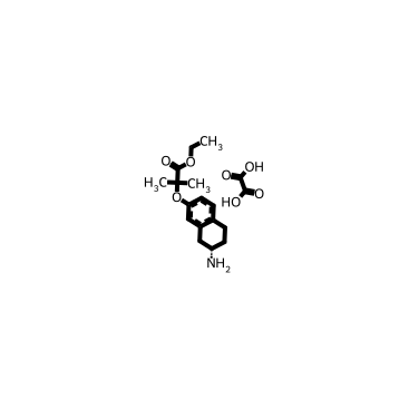 CCOC(=O)C(C)(C)Oc1ccc2c(c1)C[C@@H](N)CC2.O=C(O)C(=O)O